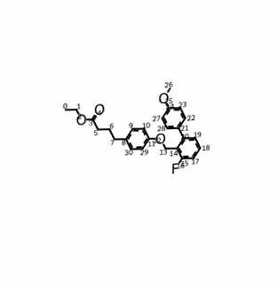 CCOC(=O)CCCc1ccc(OCc2c(F)cccc2-c2ccc(OC)cc2)cc1